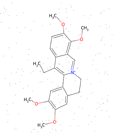 CCc1c2[n+](cc3c(OC)c(OC)ccc13)CCc1cc(OC)c(OC)cc1-2